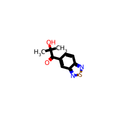 CC(C)(O)C(=O)c1ccc2nsnc2c1